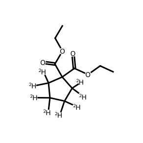 [2H]C1([2H])C([2H])([2H])C([2H])([2H])C(C(=O)OCC)(C(=O)OCC)C1([2H])[2H]